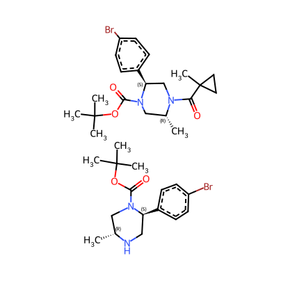 C[C@@H]1CN(C(=O)OC(C)(C)C)[C@@H](c2ccc(Br)cc2)CN1.C[C@@H]1CN(C(=O)OC(C)(C)C)[C@@H](c2ccc(Br)cc2)CN1C(=O)C1(C)CC1